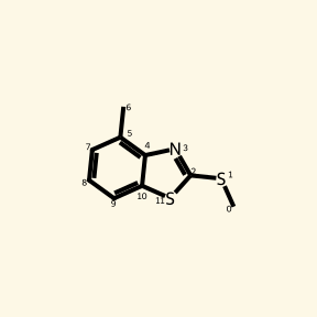 CSc1nc2c(C)cccc2s1